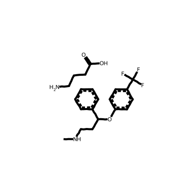 CNCCC(Oc1ccc(C(F)(F)F)cc1)c1ccccc1.NCCCC(=O)O